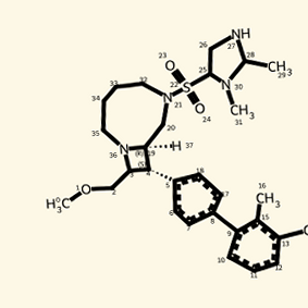 COCC1[C@@H](c2ccc(-c3cccc(C)c3C)cc2)[C@@H]2CN(S(=O)(=O)C3CNC(C)N3C)CCCCN12